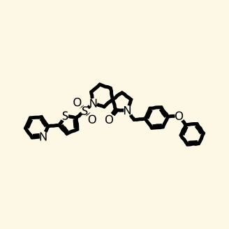 O=C1N(Cc2ccc(Oc3ccccc3)cc2)CCC12CCCN(S(=O)(=O)c1ccc(-c3ccccn3)s1)C2